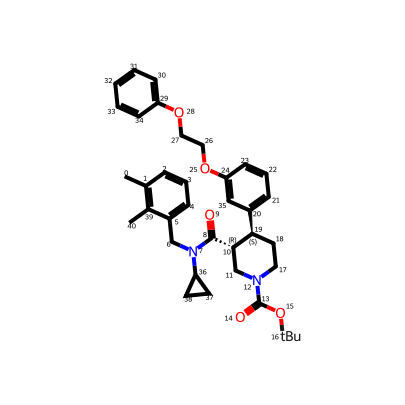 Cc1cccc(CN(C(=O)[C@H]2CN(C(=O)OC(C)(C)C)CC[C@@H]2c2cccc(OCCOc3ccccc3)c2)C2CC2)c1C